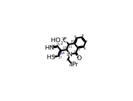 CC(C)CN1C(=O)c2ccccc2C(C(=O)O)C1/C(C=N)=C/S